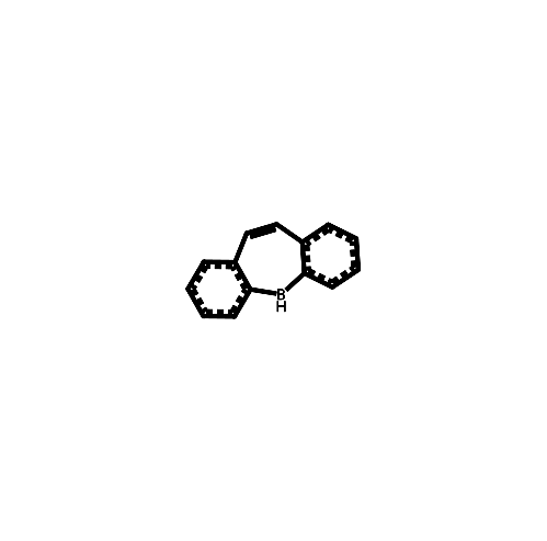 B1c2ccccc2C=Cc2ccccc21